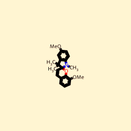 COc1ccc2c(c1)C(C)(C)C1(C=Cc3cccc(OC)c3O1)N2C